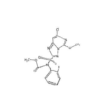 COC(=O)N(c1ccccc1F)S(=O)(=O)c1nc2cc(Cl)nc(OC)n2n1